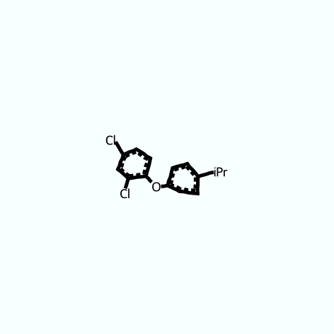 CC(C)c1ccc(Oc2ccc(Cl)cc2Cl)cc1